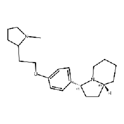 CN1CCCC1CCOc1ccc([C@H]2CC[C@H]3CCCCN32)cc1